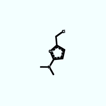 CN(C)c1ccc(CCl)o1